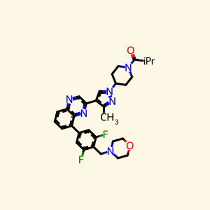 Cc1nn(C2CCN(C(=O)C(C)C)CC2)cc1-c1cnc2cccc(-c3cc(F)c(CN4CCOCC4)c(F)c3)c2n1